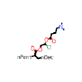 CCCCCCCCCCCC(CCCCC)C(=O)OCC(Cl)OC(=O)CCCN(C)C